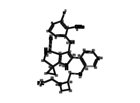 COc1c(F)cccc1Nc1c(-c2ccncc2OCC2CCN2CC(F)(F)F)[nH]c2c1C(=O)NCC21CC1